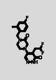 Cc1cc(F)ccc1CN1CCN(c2cn[nH]c(=O)c2CC(F)F)CC1=O